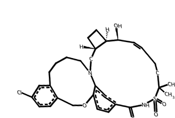 CC1(C)CC/C=C\[C@H](O)[C@@H]2CC[C@H]2CN2CCCCc3cc(Cl)ccc3COc3ccc(cc32)C(=O)NS1(=O)=O